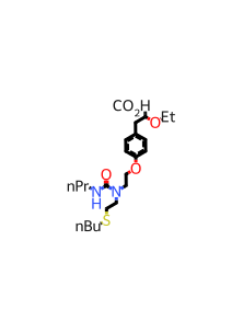 CCCCSCCN(CCOc1ccc(CC(OCC)C(=O)O)cc1)C(=O)NCCC